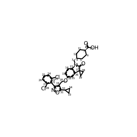 O=C1N(C[C@H]2CC[C@H](C(=O)O)CC2)c2ccc(OCc3c(-c4c(Cl)cccc4Cl)noc3C3CC3)cc2C12CC2